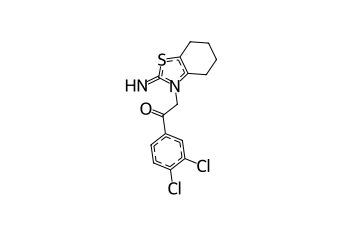 N=c1sc2c(n1CC(=O)c1ccc(Cl)c(Cl)c1)CCCC2